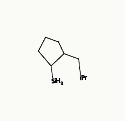 CC(C)CC1CCCC1[SiH3]